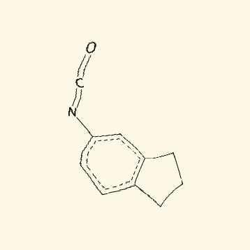 O=C=Nc1ccc2c(c1)CCC2